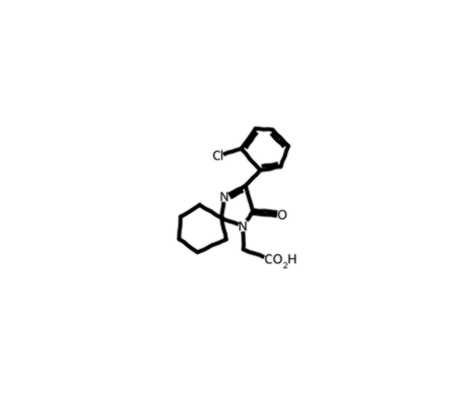 O=C(O)CN1C(=O)C(c2ccccc2Cl)=NC12CCCCC2